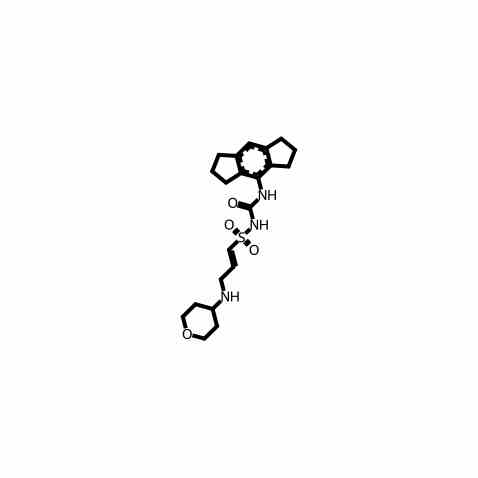 O=C(Nc1c2c(cc3c1CCC3)CCC2)NS(=O)(=O)/C=C/CNC1CCOCC1